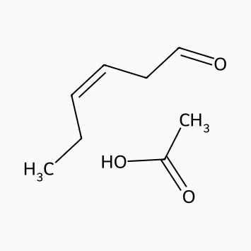 CC(=O)O.CC/C=C\CC=O